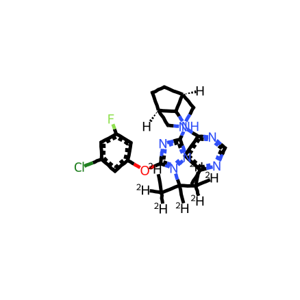 [2H]C([2H])([2H])C([2H])(n1nc(NC2[C@@H]3CC[C@H]2CN(c2cc(C)ncn2)C3)nc1Oc1cc(F)cc(Cl)c1)C([2H])([2H])[2H]